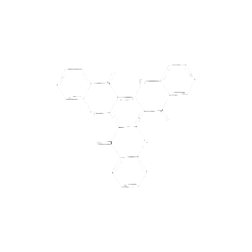 O=c1c2ccccc2[nH]c2c1c1[nH]c3ccccc3c(=O)c1c1[nH]c3ccccc3c(=O)c21